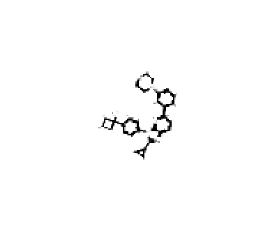 Cl.NC1(c2ccc(-n3c(C4CC4)nc4ccc(-c5cccc(N6CCOCC6)c5)nc43)cc2)CCC1